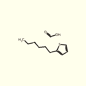 CCCCCCc1cccs1.O=CO